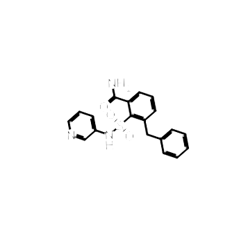 NC(=O)c1cccc(Cc2ccccc2)c1S(=O)(=O)Nc1cccnc1